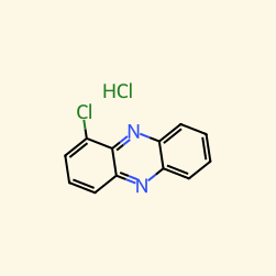 Cl.Clc1cccc2nc3ccccc3nc12